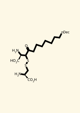 CCCCCCCCCCCCCCCCCC(=O)C(SSC[C@H](N)C(=O)O)[C@H](N)C(=O)O